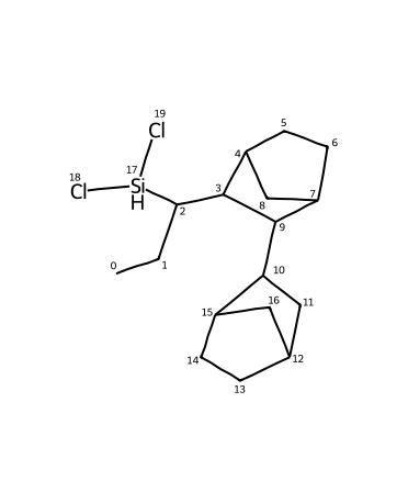 CCC(C1C2CCC(C2)C1C1CC2CCC1C2)[SiH](Cl)Cl